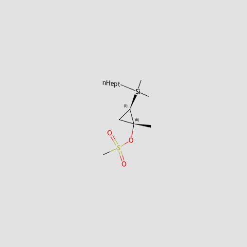 CCCCCCC[Si](C)(C)[C@@H]1C[C@@]1(C)OS(C)(=O)=O